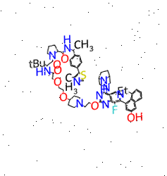 CCc1cccc2cc(O)cc(-c3ncc4c(N5CC6CCC(C5)N6)nc(OCCN5CCC(OCCOCC(=O)NC(C(=O)N6CCCC6C(=O)NC(C)c6ccc(-c7scnc7C)cc6)C(C)(C)C)CC5)nc4c3F)c12